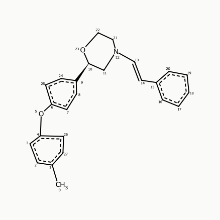 Cc1ccc(Oc2ccc([C@@H]3CN(C=Cc4ccccc4)CCO3)cc2)cc1